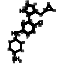 NC1CCC(Nc2ncc(Cl)c(-c3[nH]ncc3CC3CC3)n2)CC1